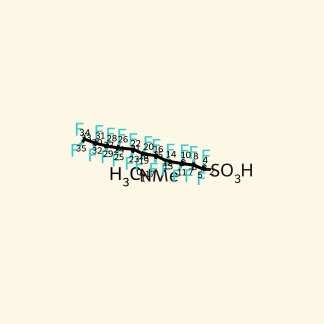 CNC.O=S(=O)(O)C(F)(F)C(F)(F)C(F)(F)C(F)(F)C(F)(F)C(F)(F)C(F)(F)C(F)(F)C(F)(F)C(F)(F)C(F)F